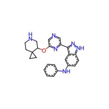 c1ccc(Nc2ccc3[nH]nc(-c4cncc(OC5CNCCC56CC6)n4)c3c2)cc1